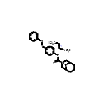 CN1C2CCCC1CN(C(=O)Oc1ccc(N=Nc3ccccc3)cc1)C2.O=C(O)/C=C/C(=O)O